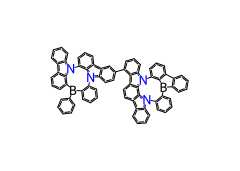 c1ccc(B2c3ccccc3-n3c4ccc(-c5cccc6c5c5ccc7c8ccccc8n8c7c5n6-c5cccc6c5B(c5ccccc5-6)c5ccccc5-8)cc4c4cccc(c43)-n3c4ccccc4c4cccc2c43)cc1